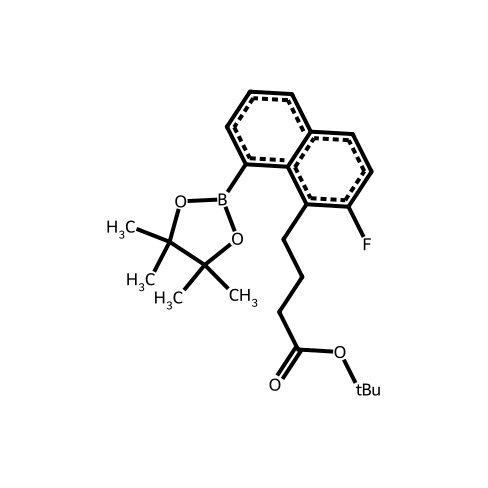 CC(C)(C)OC(=O)CCCc1c(F)ccc2cccc(B3OC(C)(C)C(C)(C)O3)c12